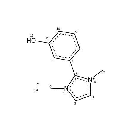 Cn1cc[n+](C)c1-c1cccc(O)c1.[I-]